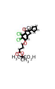 CC(C)(OC(=O)CCCOc1cc2c(c(Cl)c1Cl)C(=O)C(C)(C1CCCC1)C2)C(=O)O